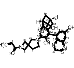 C=CC(=O)N1CC2(CCN(c3nc4c(c(-c5cc(O)cc6nccnc56)c3C#N)C[C@H]3C[C@@H]4C3(C)C)C2)C1